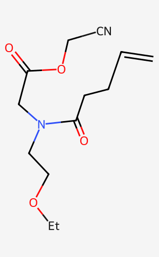 C=CCCC(=O)N(CCOCC)CC(=O)OCC#N